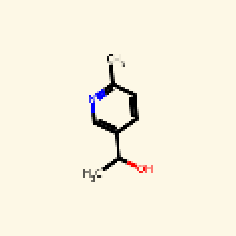 Cc1ccc(C(C)O)cn1